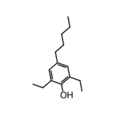 CCCCCc1cc(CC)c(O)c(CC)c1